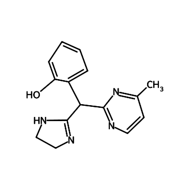 Cc1ccnc(C(C2=NCCN2)c2ccccc2O)n1